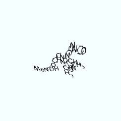 CNC[C@@H](O)COc1ccc(Cl)c(-c2nc(-c3c(C)noc3C)c(C)c(N3Cc4cnn(C5CCOCC5)c4C3)n2)c1